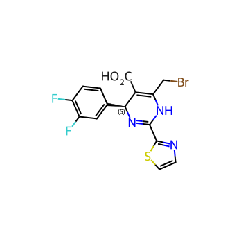 O=C(O)C1=C(CBr)NC(c2nccs2)=N[C@H]1c1ccc(F)c(F)c1